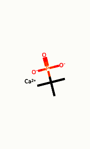 CC(C)(C)P(=O)([O-])[O-].[Ca+2]